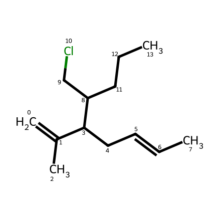 C=C(C)C(CC=CC)C(CCl)CCC